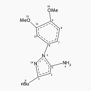 CCCCc1cc(N)n(-c2ccc(OC)c(OC)c2)n1